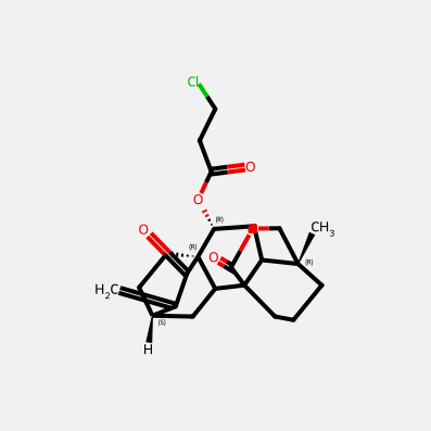 C=C1C(=O)[C@]23CC[C@H]1CC2C12CCC[C@@](C)(COC1=O)C2C[C@H]3OC(=O)CCCl